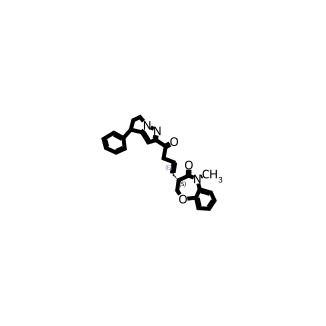 CN1C(=O)[C@@H](/C=C/CC(=O)c2cc3n(n2)CCC3c2ccccc2)COc2ccccc21